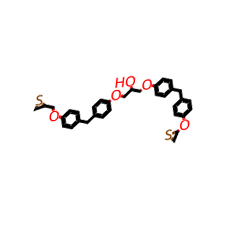 OC(COc1ccc(Cc2ccc(OCC3CS3)cc2)cc1)COc1ccc(Cc2ccc(OC3CS3)cc2)cc1